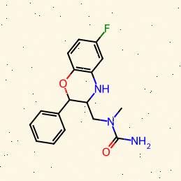 CN(CC1Nc2cc(F)ccc2OC1c1ccccc1)C(N)=O